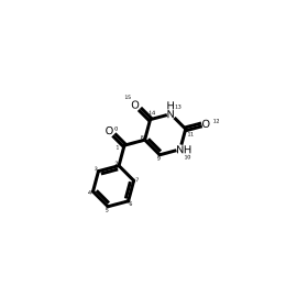 O=C(c1ccccc1)c1c[nH]c(=O)[nH]c1=O